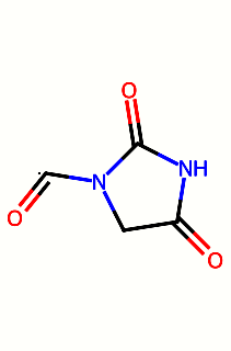 O=[C]N1CC(=O)NC1=O